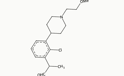 COCCN1CCC(c2cccc(C(C)C=O)c2Cl)CC1